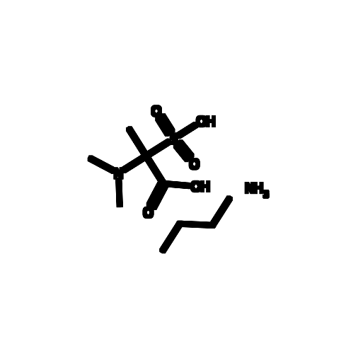 CCCC.CN(C)C(C)(C(=O)O)S(=O)(=O)O.N